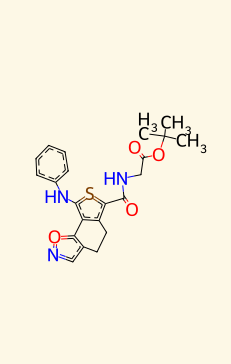 CC(C)(C)OC(=O)CNC(=O)c1sc(Nc2ccccc2)c2c1CCc1cnoc1-2